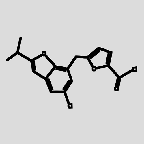 CC(C)c1cc2cc(Cl)cc(Cc3ccc(C(=O)Cl)o3)c2o1